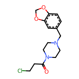 O=C(CCCl)N1CCN(Cc2ccc3c(c2)OCO3)CC1